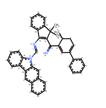 CC1CC=C(c2ccccc2)C=C1C(=N)C1=C(/N=C/n2c3ccccc3c3cc4ccccc4cc32)c2ccccc2C1(C)C